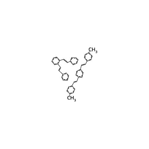 C(=C\c1ccccc1/C=C/c1ccccc1)/c1ccccc1.Cc1ccc(/C=C/c2ccc(/C=C/c3ccc(C)cc3)cc2)cc1